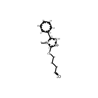 Cn1c(SCCCC=O)nnc1-c1ccccc1